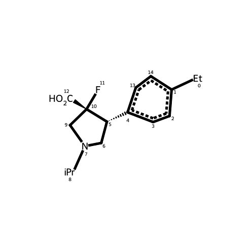 CCc1ccc([C@@H]2CN(C(C)C)C[C@@]2(F)C(=O)O)cc1